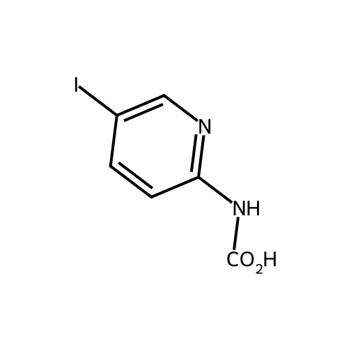 O=C(O)Nc1ccc(I)cn1